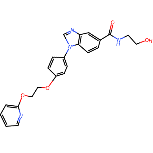 O=C(NCCO)c1ccc2c(c1)ncn2-c1ccc(OCCOc2ccccn2)cc1